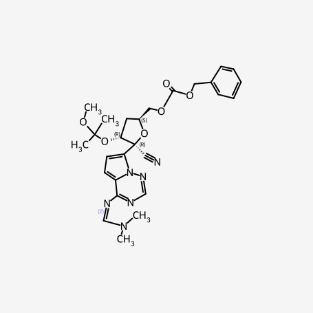 COC(C)(C)O[C@@H]1C[C@@H](COC(=O)OCc2ccccc2)O[C@@]1(C#N)c1ccc2c(/N=C\N(C)C)ncnn12